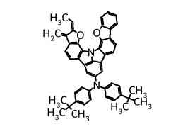 C=c1/c(=C\C)oc2c1ccc1c3cc(N(c4ccc(C(C)(C)C)cc4)c4ccc(C(C)(C)C)cc4)cc4c5ccc6c7ccccc7oc6c5n(c34)c12